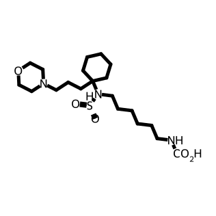 O=C(O)NCCCCCCN([SH](=O)=O)C1(CCCN2CCOCC2)CCCCC1